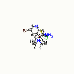 C=C(Cl)CN1[C@@H]2CC[C@H]1C[C@](C(N)=S)(c1cncc(Br)c1)C2